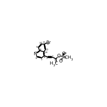 CC(C#Cc1ccnc2ccc(Br)cc12)OS(C)(=O)=O